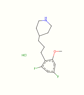 COc1cc(F)cc(F)c1CCCC1CCNCC1.Cl